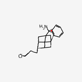 NC(=O)C12CC3C(CCCCl)C4CC(c5ccccc5)(C1)C342